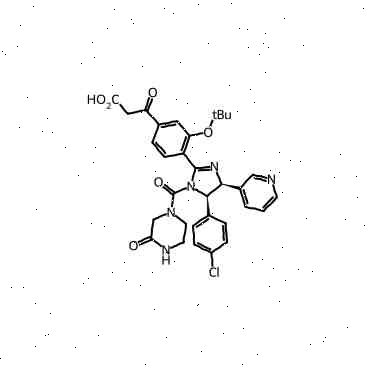 CC(C)(C)Oc1cc(C(=O)CC(=O)O)ccc1C1=N[C@@H](c2cccnc2)[C@@H](c2ccc(Cl)cc2)N1C(=O)N1CCNC(=O)C1